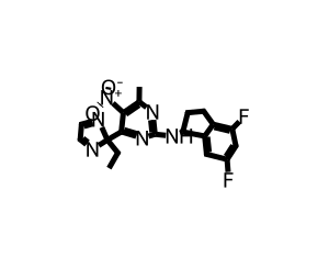 CCC1(c2nc(NC3CCc4c(F)cc(F)cc43)nc(C)c2[N+](=O)[O-])N=CC=N1